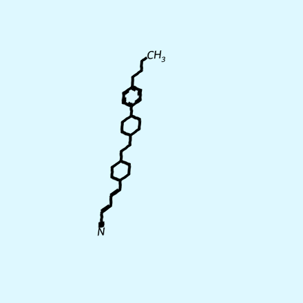 CCCCc1ccc(C2CCC(CCC3CCC(C=CC=CC#N)CC3)CC2)cc1